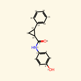 O=C(Nc1ccc(O)cc1)C1CC1c1ccccc1